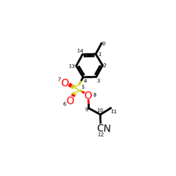 Cc1ccc(S(=O)(=O)OCC(C)C#N)cc1